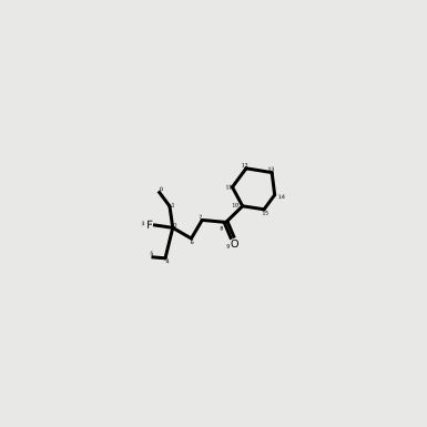 CCC(F)(CC)CCC(=O)C1CCCCC1